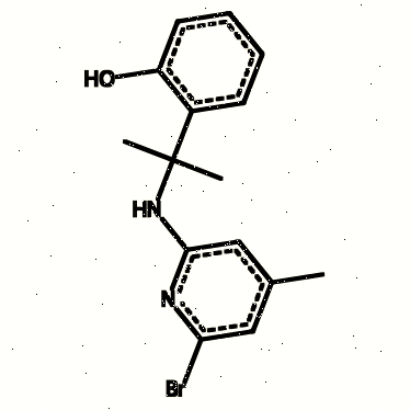 Cc1cc(Br)nc(NC(C)(C)c2ccccc2O)c1